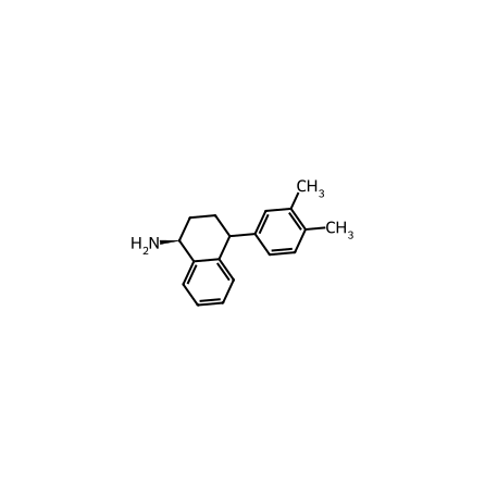 Cc1ccc(C2CC[C@H](N)c3ccccc32)cc1C